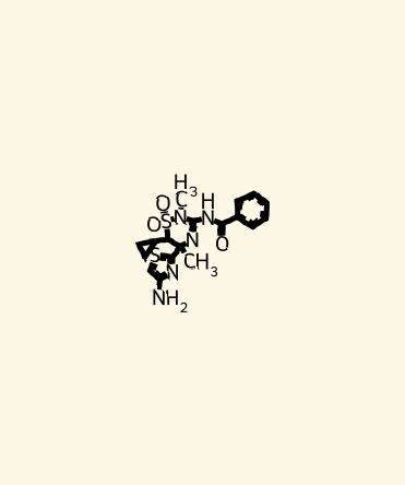 CN1C(NC(=O)c2ccccc2)=NC(C)(c2nc(N)cs2)C(C2CC2)S1(=O)=O